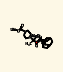 COC(=O)C12CC3CC(C1)C(NC(=O)C(C)(C)N1CCN(C(=O)OC(C)(C)C)CC1)C(C3)C2